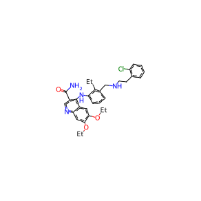 CCOc1cc2ncc(C(N)=O)c(Nc3cccc(CNCCc4ccccc4Cl)c3CC)c2cc1OCC